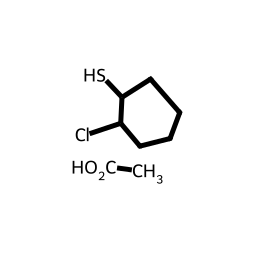 CC(=O)O.SC1CCCCC1Cl